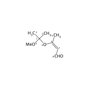 COC(C)(C)O/C(C)=C\C=O